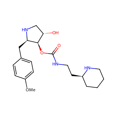 COc1ccc(C[C@H]2NC[C@H](O)[C@H]2OC(=O)NCC[C@@H]2CCCCN2)cc1